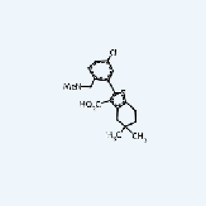 CNCc1ccc(Cl)cc1-c1sc2c(c1C(=O)O)CC(C)(C)CC2